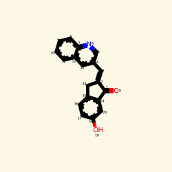 O=C1C(=Cc2cnc3ccccc3c2)Cc2ccc(O)cc21